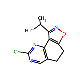 CC(C)c1noc2c1-c1nc(Cl)ncc1CC2